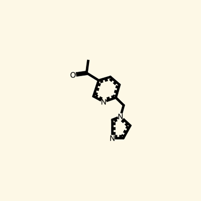 CC(=O)c1ccc(Cn2ccnc2)nc1